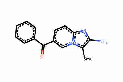 CSc1c(N)nc2ccc(C(=O)c3ccccc3)cn12